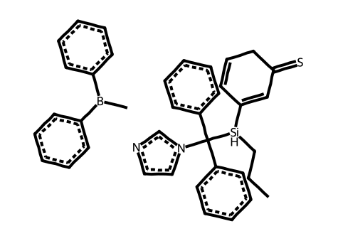 CB(c1ccccc1)c1ccccc1.CCC[SiH](C1=CC(=S)CC=C1)C(c1ccccc1)(c1ccccc1)n1ccnc1